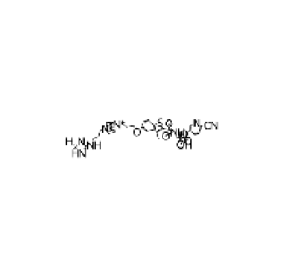 Cc1c(S(=O)(=O)NCP(=O)(O)Oc2ccc(C#N)nc2)sc2ccc(OCCC[N+]34CC[N+](CCCNC(=N)N)(CC3)CC4)cc12